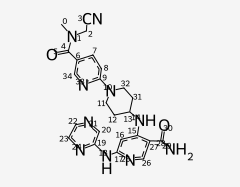 CN(CC#N)C(=O)c1ccc(N2CCC(Nc3cc(Nc4cnccn4)ncc3C(N)=O)CC2)nc1